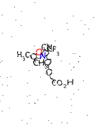 Cc1ccc(Cn2c(-c3ccc(-c4ccc(/C=C/C(=O)O)cc4)cc3)cc(C(F)(F)F)c(C#N)c2=O)c(C)c1